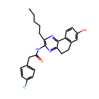 CCCCCc1nc2c(nc1NC(=O)Cc1ccc(Cl)cc1)CCc1cc(O)ccc1-2